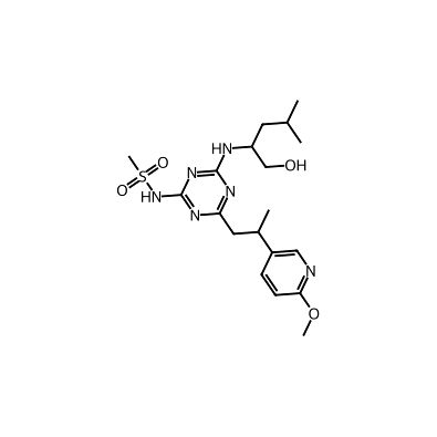 COc1ccc(C(C)Cc2nc(NC(CO)CC(C)C)nc(NS(C)(=O)=O)n2)cn1